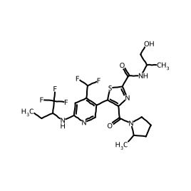 CCC(Nc1cc(C(F)F)c(-c2sc(C(=O)NC(C)CO)nc2C(=O)N2CCCC2C)cn1)C(F)(F)F